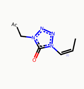 C/C=C\n1nnn(CC(C)=O)c1=O